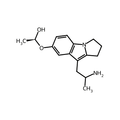 CC(N)Cc1c2n(c3ccc(O[C@@H](C)O)cc13)CCC2